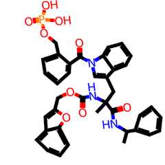 CC(NC(=O)C(C)(Cc1cn(C(=O)c2ccccc2COP(=O)(O)O)c2ccccc12)NC(=O)OCc1cc2ccccc2o1)c1ccccc1